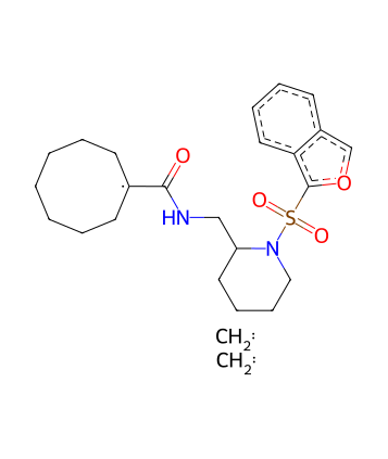 O=C(NCC1CCCCN1S(=O)(=O)c1occ2ccccc12)[C]1CCCCCCC1.[CH2].[CH2]